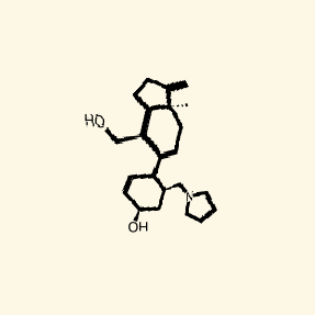 C=C1CCC2[C@H](CO)C(C3CC[C@H](O)C[C@@H]3CN3CCCC3)CC[C@]12C